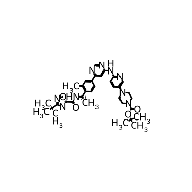 Cc1cc(-c2cc(Nc3ccc(N4CCN(C(=O)OC(C)(C)C)CC4)cn3)ncn2)ccc1[C@@H](C)NC(=O)c1nc(C(C)(C)C)no1